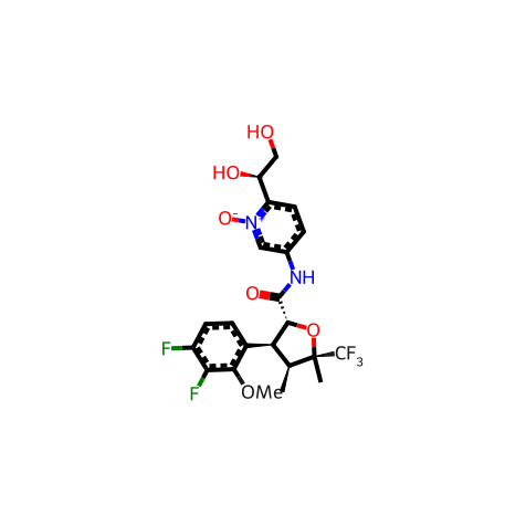 COc1c([C@H]2[C@H](C(=O)Nc3ccc([C@@H](O)CO)[n+]([O-])c3)O[C@@](C)(C(F)(F)F)[C@H]2C)ccc(F)c1F